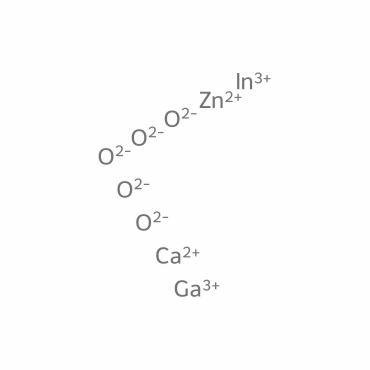 [Ca+2].[Ga+3].[In+3].[O-2].[O-2].[O-2].[O-2].[O-2].[Zn+2]